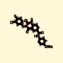 COc1ccc(NC(=O)c2ccc3c(c2)c(=O)n(Cc2ccc(F)c(Cl)c2)c(=O)n3C)cc1